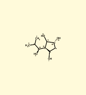 CC(C)[C@H](O)[C@@H]1C(O)C[C@@H](O)C1O